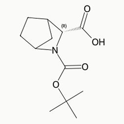 CC(C)(C)OC(=O)N1C2CCC(C2)[C@@H]1C(=O)O